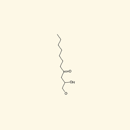 CCCCCCCC(=O)CC(O)C[O]